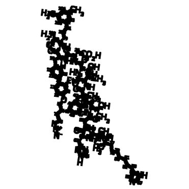 CCc1cc(OCCCCN=[N+]=[N-])ccc1-c1ccc(C[C@H](NC(=O)[C@H](CC(=O)O)NC(=O)[C@H](CO)NC(=O)[C@@H](NC(=O)[C@](C)(Cc2ccccc2F)NC(=O)[C@@H](NC(=O)CNC(=O)[C@H](Cc2nn[nH]n2)NC(=O)C(C)(C)NC(=O)CCCCCCCc2cnc[nH]2)[C@@H](C)O)[C@@H](C)O)C(=O)N[C@@H](CCCc2cc(C)cc(C)c2)C(N)=O)cc1